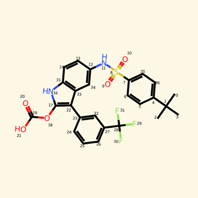 CC(C)(C)c1ccc(S(=O)(=O)Nc2ccc3[nH]c(OC(=O)O)c(-c4cccc(C(F)(F)F)c4)c3c2)cc1